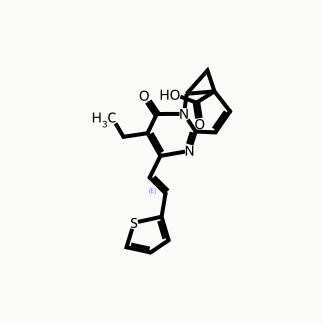 CCc1c(/C=C/c2cccs2)nc2n(c1=O)C1CC1(C(=O)O)C=C2